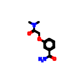 CN(C)C(=O)COc1cccc(C(N)=O)c1